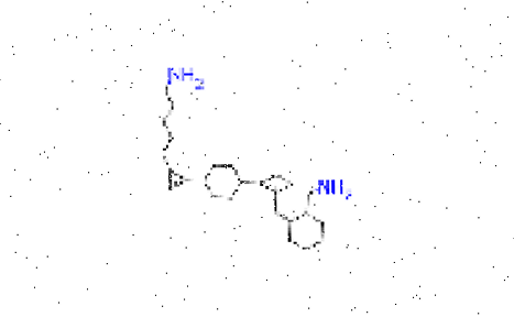 NCCCCCC1C=C1C1C=CC(C2C3CC32CC2CCCCC2CN)CC1